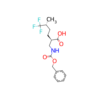 C[C@H](CC[C@H](CNC(=O)OCc1ccccc1)C(=O)O)C(F)(F)F